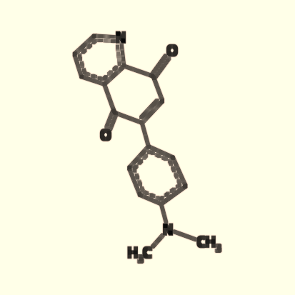 CN(C)c1ccc(C2=CC(=O)c3ncccc3C2=O)cc1